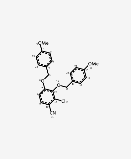 COc1ccc(COc2ccc(C#N)c(Cl)c2OCc2ccc(OC)cc2)cc1